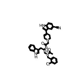 CC(=O)N(Cc1ccccc1Cl)C[C@@H](Cc1c[nH]c2ccccc12)NC(=O)CN1CC=C(c2c[nH]c3ccc(C#N)cc23)CC1